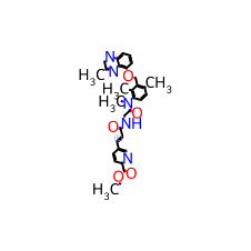 CCOC(=O)c1ccc(/C=C/C(=O)NCC(=O)N(C)c2ccc(C)c(COc3cccc4ncc(C)nc34)c2C)cn1